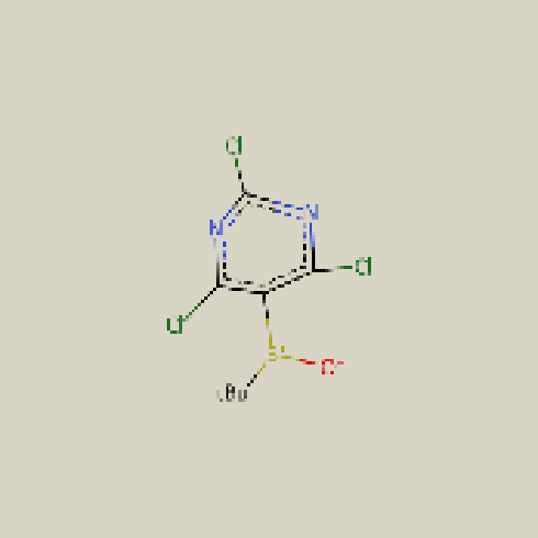 CC(C)(C)[S+]([O-])c1c(Cl)nc(Cl)nc1Cl